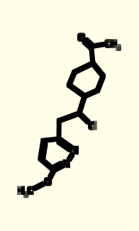 COc1ccc(CC(Cl)C2CCC(C(C)=O)CC2)nn1